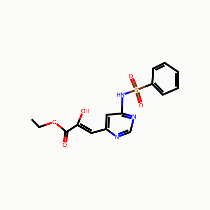 CCOC(=O)C(O)=Cc1cc(NS(=O)(=O)c2ccccc2)ncn1